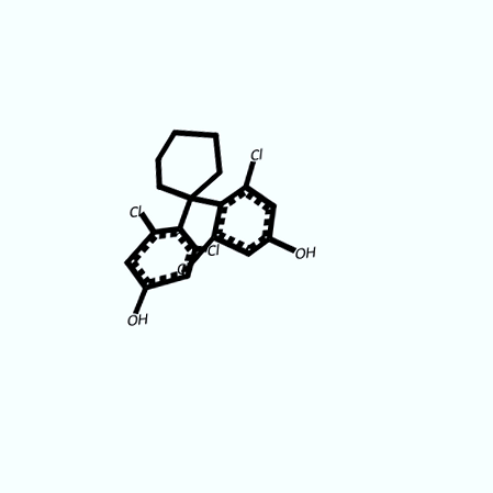 Oc1cc(Cl)c(C2(c3c(Cl)cc(O)cc3Cl)CCCCC2)c(Cl)c1